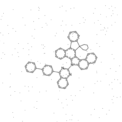 c1ccc(-c2ccc(-c3nc(-n4c5ccc6ccccc6c5c5c6c(c7ccccc7c54)-c4ccccc4C64CCCCC4)nc4ccccc34)cc2)cc1